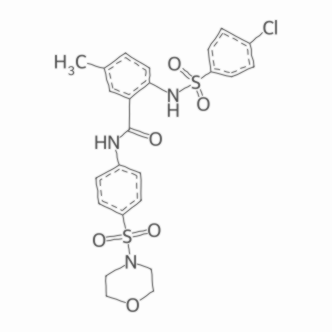 Cc1ccc(NS(=O)(=O)c2ccc(Cl)cc2)c(C(=O)Nc2ccc(S(=O)(=O)N3CCOCC3)cc2)c1